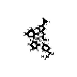 CC(C)(C)c1cc(CC(C(=O)Nc2ccc(C(N)=O)cc2)N(Cc2ccc(Cl)cc2)S(=O)(=O)c2c(F)c(F)c(F)c(F)c2F)cc(C2CC2)c1